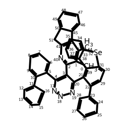 Cc1c(-c2c(-c3ccccc3-c3ccccc3)nnnc2-c2c(-c3ccccc3)ccc3[se]c4ccccc4c23)nc2c(c1C)-c1ccccc1C2